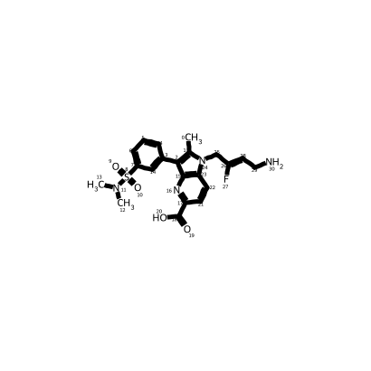 Cc1c(-c2cccc(S(=O)(=O)N(C)C)c2)c2nc(C(=O)O)ccc2n1C/C(F)=C/CN